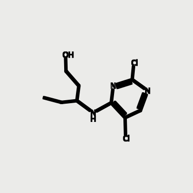 CCC(CCO)Nc1nc(Cl)ncc1Cl